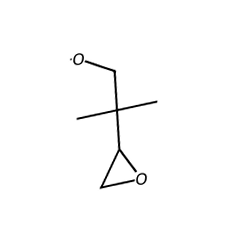 CC(C)(C[O])C1CO1